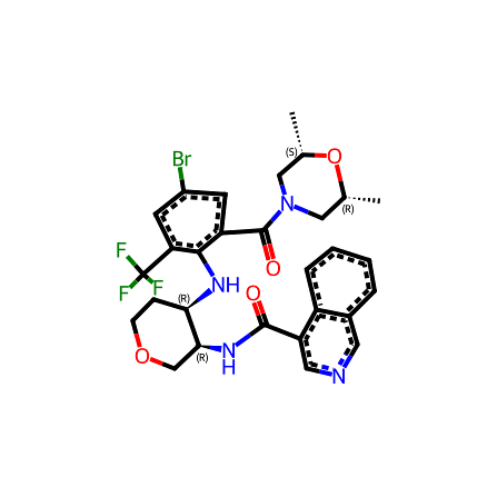 C[C@@H]1CN(C(=O)c2cc(Br)cc(C(F)(F)F)c2N[C@@H]2CCOC[C@@H]2NC(=O)c2cncc3ccccc23)C[C@H](C)O1